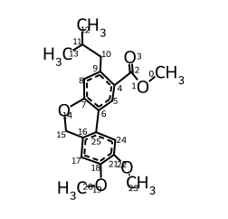 COC(=O)c1cc2c(cc1CC(C)C)OCc1cc(OC)c(OC)cc1-2